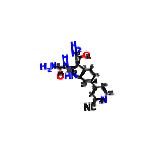 N#Cc1cc(-c2ccc3c(C(N)=O)c(NC(N)=O)[nH]c3c2)ccn1